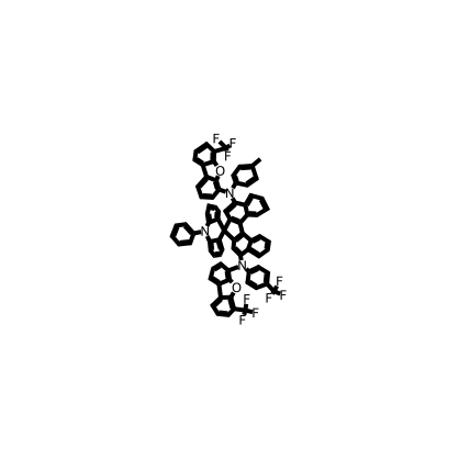 Cc1ccc(N(c2cc3c(c4ccccc24)-c2c(cc(N(c4ccc(C(F)(F)F)cc4)c4cccc5c4oc4c(C(F)(F)F)cccc45)c4ccccc24)C32c3ccccc3N(c3ccccc3)c3ccccc32)c2cccc3c2oc2c(C(F)(F)F)cccc23)cc1